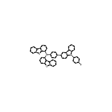 Fc1ccc(-n2c3ccccc3c3cc(-c4ccc(N(c5cccc6c5sc5ccccc56)c5cccc6oc7ccccc7c56)cc4)ccc32)cc1